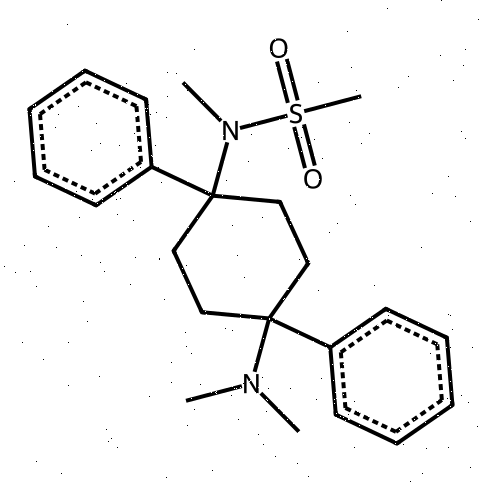 CN(C)C1(c2ccccc2)CCC(c2ccccc2)(N(C)S(C)(=O)=O)CC1